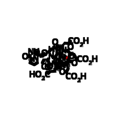 NC(=O)[C@@H]1CCCN1C(=O)COCCNC(=O)[C@@H](CCC(=O)O)NC(=O)[C@@H](CCC(=O)O)NC(=O)[C@@H](CCC(=O)O)NC(=O)[C@@H](CCC(=O)O)NC(=O)[C@@H](CCC(=O)O)NC(=O)CCN1C(=O)C=CC1=O